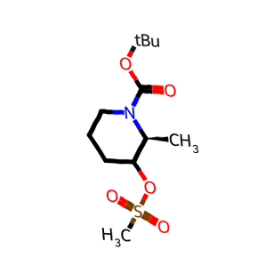 C[C@H]1C(OS(C)(=O)=O)CCCN1C(=O)OC(C)(C)C